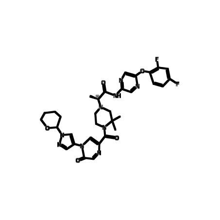 C[C@@H](C(=O)Nc1cnc(Oc2ccc(F)cc2F)cn1)N1CCN(C(=O)c2cn(-c3cnn(C4CCCCO4)c3)c(=O)cn2)C(C)(C)C1